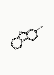 Brc1ccc2c(c1)nc1ccccn12